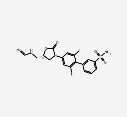 N=CNC[C@H]1CN(c2cc(F)c(-c3cccc(S(N)(=O)=O)c3)c(F)c2)C(=O)O1